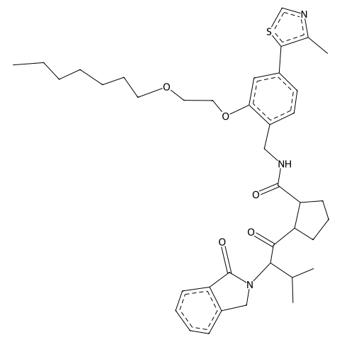 CCCCCCCOCCOc1cc(-c2scnc2C)ccc1CNC(=O)C1CCCC1C(=O)C(C(C)C)N1Cc2ccccc2C1=O